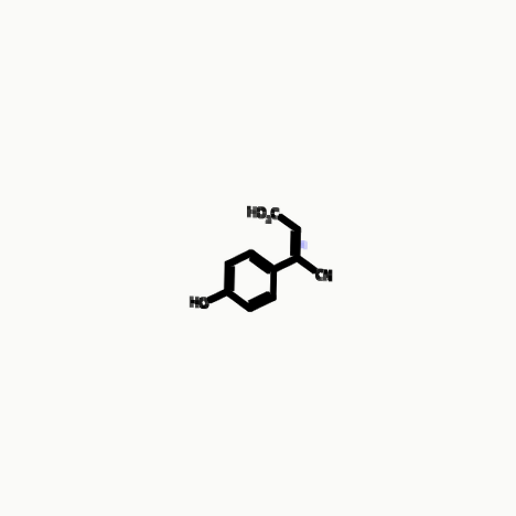 N#C/C(=C/C(=O)O)c1ccc(O)cc1